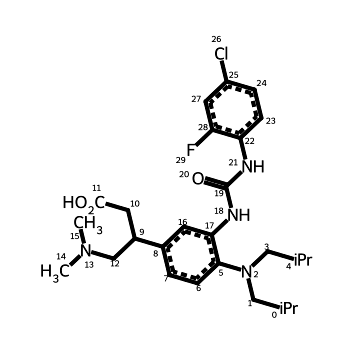 CC(C)CN(CC(C)C)c1ccc(C(CC(=O)O)CN(C)C)cc1NC(=O)Nc1ccc(Cl)cc1F